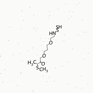 CSC(C)C(=O)COCCCOCCNSS